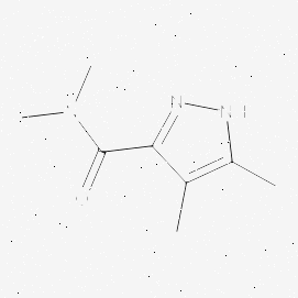 Cc1[nH]nc(C(=O)N(C)C)c1C